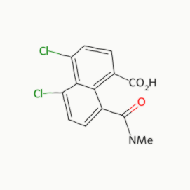 CNC(=O)c1ccc(Cl)c2c(Cl)ccc(C(=O)O)c12